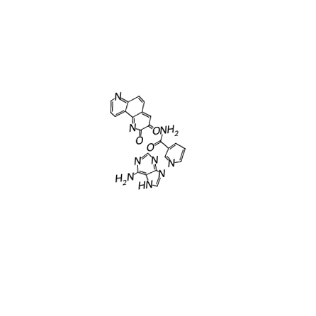 NC(=O)c1cccnc1.Nc1ncnc2nc[nH]c12.O=C1C=c2ccc3ncccc3c2=NC1=O